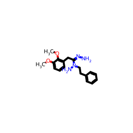 COc1cccc(C/C(=N/N)N(N)CCc2ccccc2)c1OC